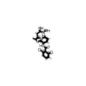 Cc1nc2c(NC(=O)c3c(Cl)cccc3Cl)cccn2c1CC(=N)NO